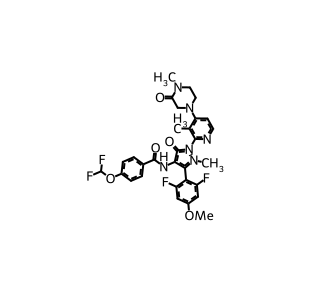 COc1cc(F)c(-c2c(NC(=O)c3ccc(OC(F)F)cc3)c(=O)n(-c3nccc(N4CCN(C)C(=O)C4)c3C)n2C)c(F)c1